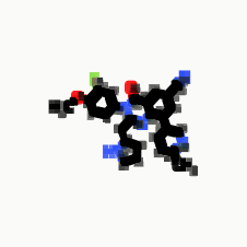 COc1ccc(-n2c(C[C@H]3CCCN3)nc3c(-c4ccc(C)nc4)cc(C#N)cc3c2=O)cc1F